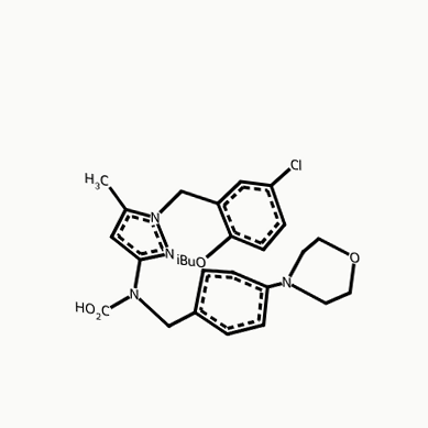 Cc1cc(N(Cc2ccc(N3CCOCC3)cc2)C(=O)O)nn1Cc1cc(Cl)ccc1OCC(C)C